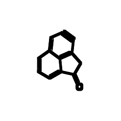 O=C1Cc2c#ccc3cccc1c23